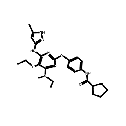 CCOc1c(Nc2cc(C)[nH]n2)nc(Sc2ccc(NC(=O)C3CCCC3)cc2)nc1N(C)CC